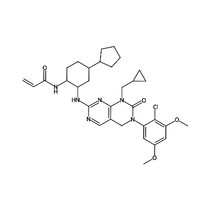 C=CC(=O)NC1CCC(C2CCCC2)CC1Nc1ncc2c(n1)N(CC1CC1)C(=O)N(c1cc(OC)cc(OC)c1Cl)C2